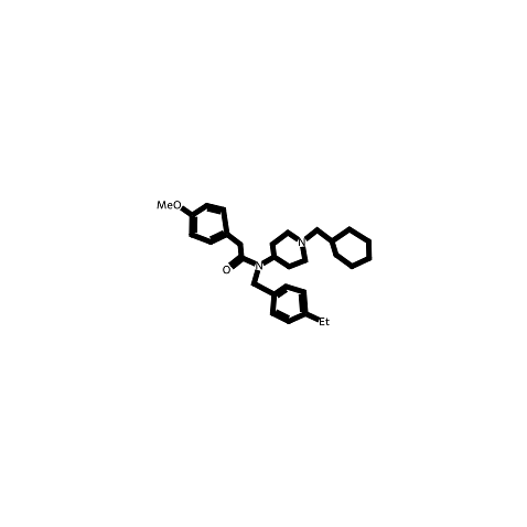 CCc1ccc(CN(C(=O)Cc2ccc(OC)cc2)C2CCN(CC3CCCCC3)CC2)cc1